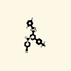 N#CC1CCN(C(=O)N2CC(c3ccc(C(F)(F)F)cc3)CC(c3nc(-c4cc(F)ccc4F)no3)C2)CC1